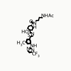 CC(=O)NCCCCNC(=O)[C@H]1CC[C@@](O)(c2ncc(-c3cc(C)cc(Nc4nccc(C(F)(F)F)n4)c3)s2)CC1